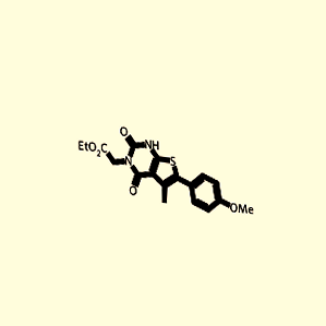 CCOC(=O)Cn1c(=O)[nH]c2sc(-c3ccc(OC)cc3)c(C)c2c1=O